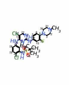 CN1CCN(c2ccc(Nc3ncc(Cl)c(Nc4ccc(Cl)c(NS(=O)(=O)C(C)(C)C)c4)n3)cc2F)CC1